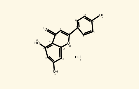 Cl.O=c1cc(-c2ccc(O)cc2)oc2cc(O)cc(O)c12